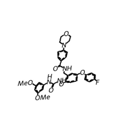 COc1cc(NC(=O)NOc2ccc(Oc3ccc(F)cc3)cc2CNC(=O)c2ccc(N3CCOCC3)cc2)cc(OC)c1